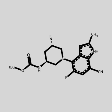 Cc1cc2c(N3C[C@@H](F)C[C@H](NC(=O)OC(C)(C)C)C3)c(F)cc(C#N)c2[nH]1